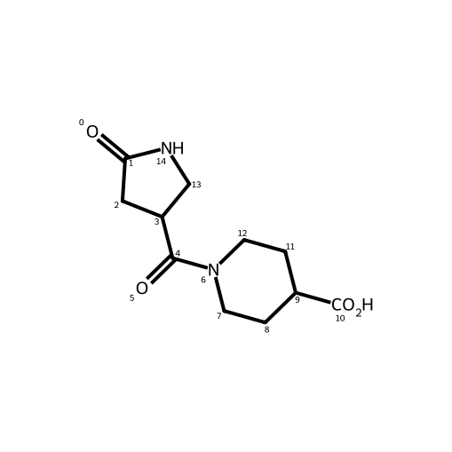 O=C1CC(C(=O)N2CCC(C(=O)O)CC2)CN1